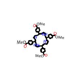 COC(=O)c1ccc(-c2c3nc(c(-c4ccc(C(=O)OC)cc4)c4ccc([nH]4)c(-c4ccc(C(=O)OC)cc4)c4nc(c(-c5ccc(C(=O)OC)cc5)c5ccc2[nH]5)C=C4)C=C3)cc1